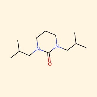 CC(C)CN1CCCN(CC(C)C)C1=O